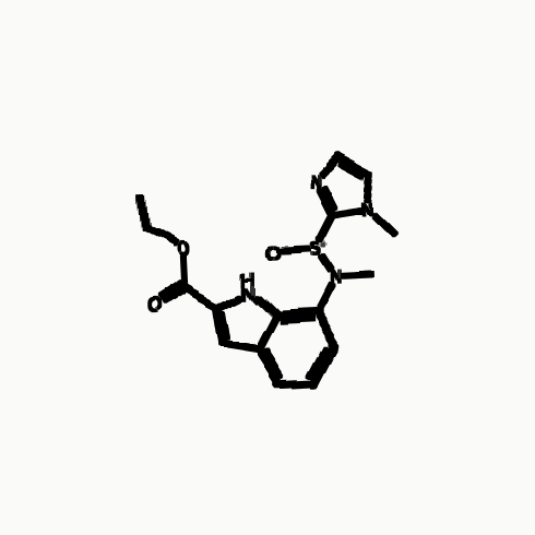 CCOC(=O)c1cc2cccc(N(C)[S+]([O-])c3nccn3C)c2[nH]1